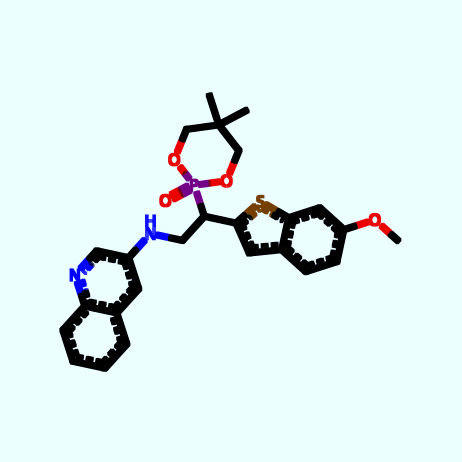 COc1ccc2cc(C(CNc3cnc4ccccc4c3)P3(=O)OCC(C)(C)CO3)sc2c1